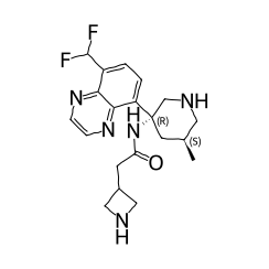 C[C@@H]1CNC[C@](NC(=O)CC2CNC2)(c2ccc(C(F)F)c3nccnc23)C1